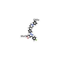 COC(=O)CC1C(C)C(c2ccc(F)cc2)=NN1c1ccc(CC2CCN(c3cccc(OC)c3)CC2)cc1